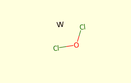 ClOCl.[W]